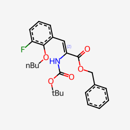 CCCCOc1c(F)cccc1/C=C(\NC(=O)OC(C)(C)C)C(=O)OCc1ccccc1